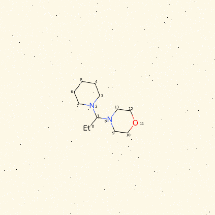 CCC(N1CCCCC1)N1CCOCC1